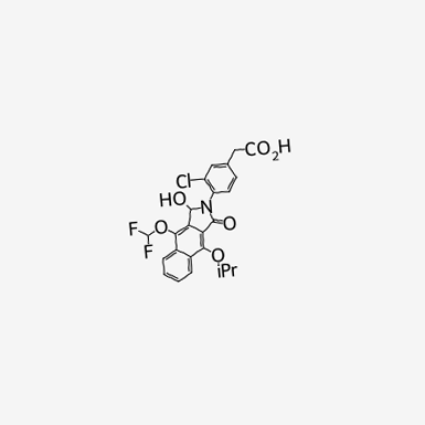 CC(C)Oc1c2c(c(OC(F)F)c3ccccc13)C(O)N(c1ccc(CC(=O)O)cc1Cl)C2=O